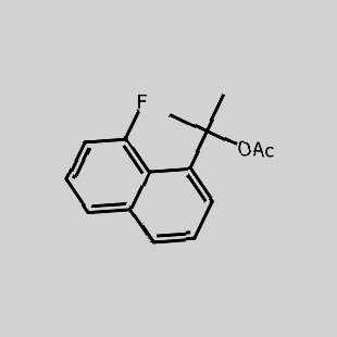 CC(=O)OC(C)(C)c1cccc2cccc(F)c12